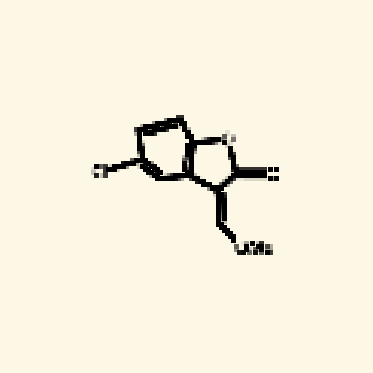 COC=C1C(=O)Oc2ccc(Cl)cc21